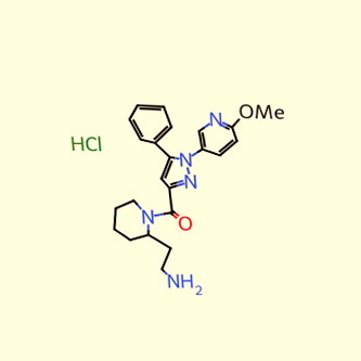 COc1ccc(-n2nc(C(=O)N3CCCCC3CCN)cc2-c2ccccc2)cn1.Cl